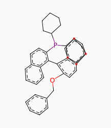 c1ccc(COc2ccc3ccccc3c2-c2c(P(C3CCCCC3)C3CCCCC3)ccc3ccccc23)cc1